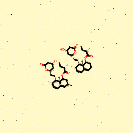 CC[C@H](C)C(=O)O[C@H]1CCC=C2C=C[C@H](C)[C@H](CC[C@@H]3C[C@@H](O)CC(=O)O3)[C@H]21.CC[C@H](C)C(=O)O[C@H]1C[C@@H](C)C=C2C=C[C@H](C)[C@H](CC[C@@H]3C[C@@H](O)CC(=O)O3)[C@H]21